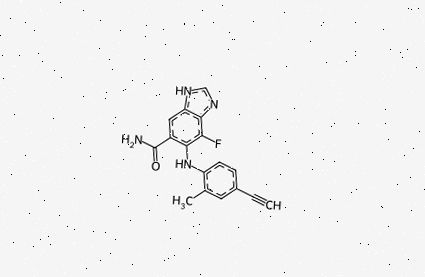 C#Cc1ccc(Nc2c(C(N)=O)cc3[nH]cnc3c2F)c(C)c1